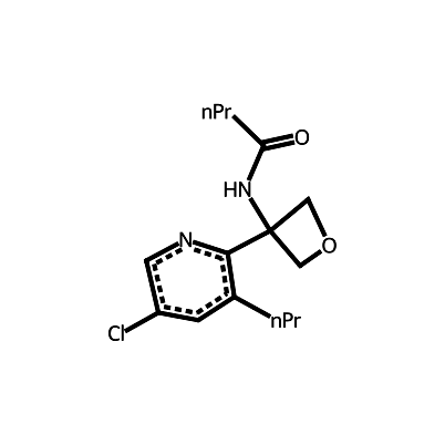 CCCC(=O)NC1(c2ncc(Cl)cc2CCC)COC1